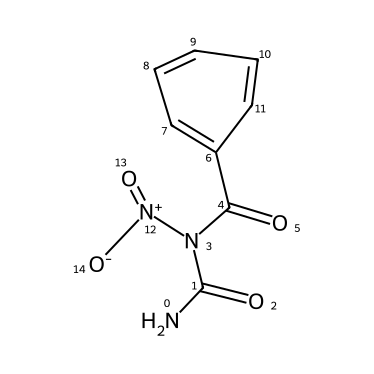 NC(=O)N(C(=O)c1ccccc1)[N+](=O)[O-]